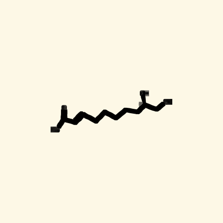 O=C(O)C=CCCCCC[C@@H](O)CO